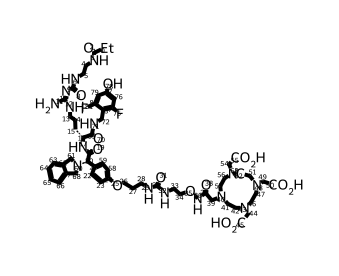 CCC(=O)NCCNC(=O)/N=C(/N)NCCC[C@@H](NC(=O)[C@H](c1ccc(OCCCNC(=O)NCCONC(=O)CN2CCN(CC(=O)O)CCN(CC(=O)O)CCN(CC(=O)O)CC2)cc1)N1Cc2ccccc2C1)C(=O)NCc1c(F)cc(O)cc1F